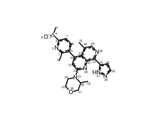 Cc1nc([S+](C)[O-])ccc1-c1cc(N2CCOCC2C)nc2c(-c3ccn[nH]3)ncc(C)c12